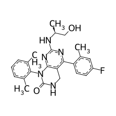 Cc1cc(F)ccc1-c1nc(N[C@@H](C)CO)nc2c1CNC(=O)N2c1c(C)cccc1C